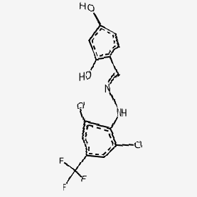 Oc1ccc(C=NNc2c(Cl)cc(C(F)(F)F)cc2Cl)c(O)c1